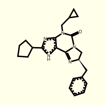 O=C1N2C[C@@H](Cc3ccccc3)N=C2c2[nH]c(C3CCCC3)nc2N1CC1CC1